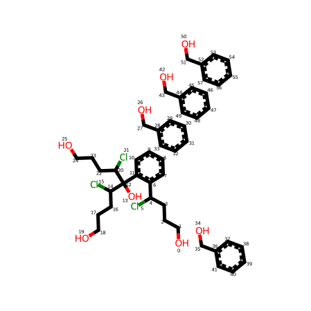 OCCCC(Cl)c1ccccc1C(O)(C(Cl)CCCO)C(Cl)CCCO.OCc1ccccc1.OCc1ccccc1.OCc1ccccc1.OCc1ccccc1